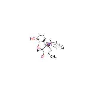 CC1C[C@@]2(O)[C@H]3Cc4ccc(O)c5c4[C@@]2(CC[N@+]3(C)CC2CC2)[C@@H](O5)C1=O